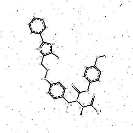 COc1ccc(OC(=O)N([C@H](C)C(=O)O)[C@H](C)c2ccc(OCCc3nc(-c4ccccc4)oc3C)cc2)cc1